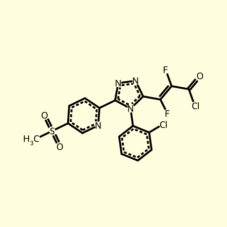 CS(=O)(=O)c1ccc(-c2nnc(/C(F)=C(\F)C(=O)Cl)n2-c2ccccc2Cl)nc1